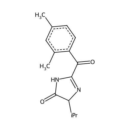 Cc1ccc(C(=O)C2=NC(C(C)C)C(=O)N2)c(C)c1